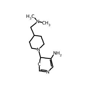 CN(C)CC1CCN(C2CC=NC=C2N)CC1